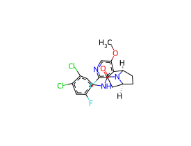 COc1cnc(F)c2c1[C@H]1CC[C@@H](C2)N1C(=O)Nc1cc(Cl)c(Cl)cc1F